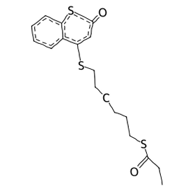 CCC(=O)SCCCCCCSc1cc(=O)sc2ccccc12